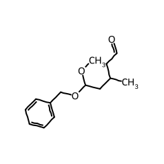 COC(CC(C)CC=O)OCc1ccccc1